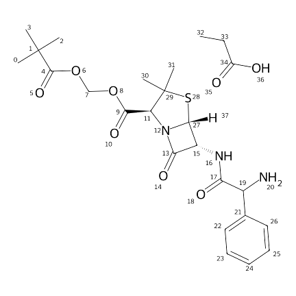 CC(C)(C)C(=O)OCOC(=O)[C@@H]1N2C(=O)[C@@H](NC(=O)C(N)c3ccccc3)[C@H]2SC1(C)C.CCC(=O)O